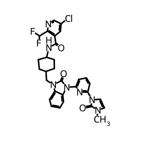 Cn1ccn(-c2cccc(-n3c(=O)n(CC4CCC(NC(=O)c5cc(Cl)cnc5C(F)F)CC4)c4ccccc43)n2)c1=O